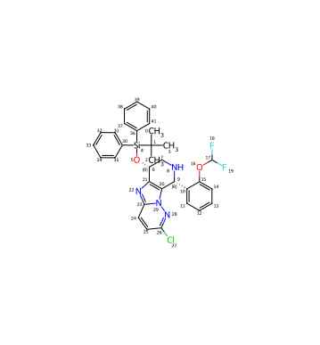 CC(C)(C)[Si](O[C@@H]1CN[C@H](c2ccccc2OC(F)F)c2c1nc1ccc(Cl)nn21)(c1ccccc1)c1ccccc1